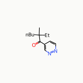 CCCCC(C)(CC)C(=O)c1ccnnc1